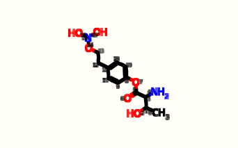 CC(O)C(N)C(=O)Oc1ccc(CCON(O)O)cc1